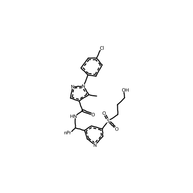 CCCC(NC(=O)c1cnn(-c2ccc(Cl)cc2)c1C)c1cncc(S(=O)(=O)CCCO)c1